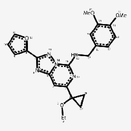 CCOC1(c2cc3nc(-c4ccco4)nn3c(NCc3ccc(OC)c(OC)c3)n2)CC1